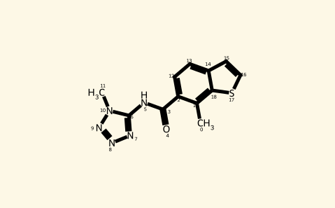 Cc1c(C(=O)Nc2nnnn2C)ccc2ccsc12